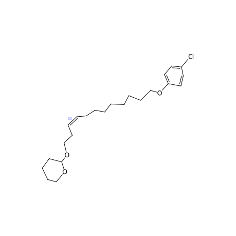 Clc1ccc(OCCCCCCCC/C=C\CCOC2CCCCO2)cc1